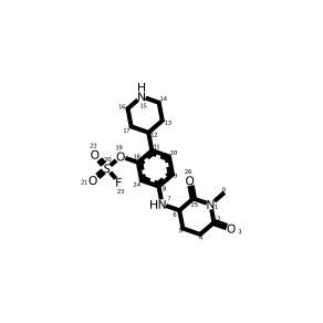 CN1C(=O)CCC(Nc2ccc(C3CCNCC3)c(OS(=O)(=O)F)c2)C1=O